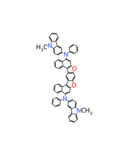 Cn1c2ccccc2c2cc(N(c3ccccc3)c3cc4oc5cc6oc7cc(N(c8ccccc8)c8ccc9c(c8)c8ccccc8n9C)c8ccccc8c7c6cc5c4c4ccccc34)ccc21